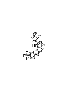 COc1ccc(Oc2ccc(C(F)(F)F)cn2)cc1NC(=O)[C@@H]1CCC(=O)N1C